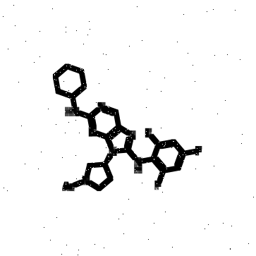 CC(=O)N1CC[C@H](n2c(Nc3c(F)cc(F)cc3F)nc3cnc(NC4CCCCC4)nc32)C1